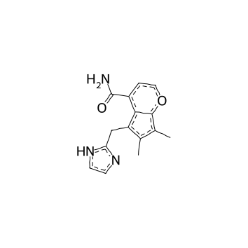 Cc1c2occc(C(N)=O)c-2c(Cc2ncc[nH]2)c1C